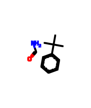 CC(C)(C)c1ccccc1.NC=O